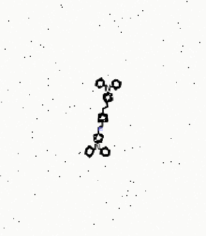 C(=C\c1ccc(N(c2ccccc2)c2ccccc2)cc1)/c1ccc(CCc2ccc(N(c3ccccc3)c3ccccc3)cc2)cc1